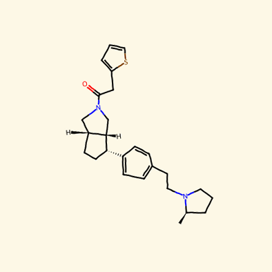 C[C@@H]1CCCN1CCc1ccc([C@@H]2CC[C@@H]3CN(C(=O)Cc4cccs4)C[C@@H]32)cc1